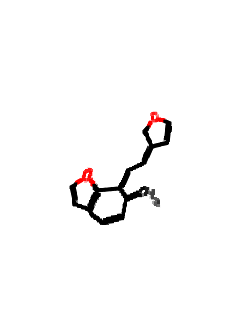 C=c1ccc2ccoc2/c1=C/C=C1/C=COC1